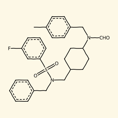 Cc1ccc(CN(C=O)C2CCC(CN(Cc3ccccc3)S(=O)(=O)c3cccc(F)c3)CC2)cc1